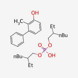 CCCCC(CC)COP(=O)(O)OCC(CC)CCCC.Cc1c(O)cccc1-c1ccccc1